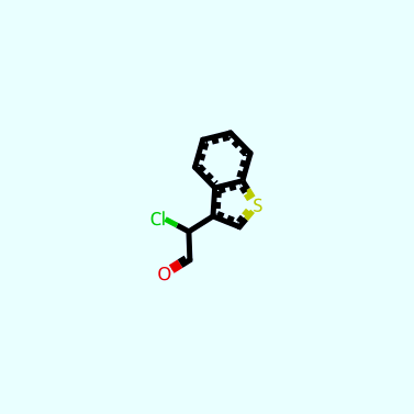 O=CC(Cl)c1csc2ccccc12